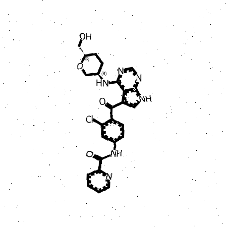 O=C(Nc1ccc(C(=O)c2c[nH]c3ncnc(N[C@@H]4CC[C@@H](CO)OC4)c23)c(Cl)c1)c1ccccn1